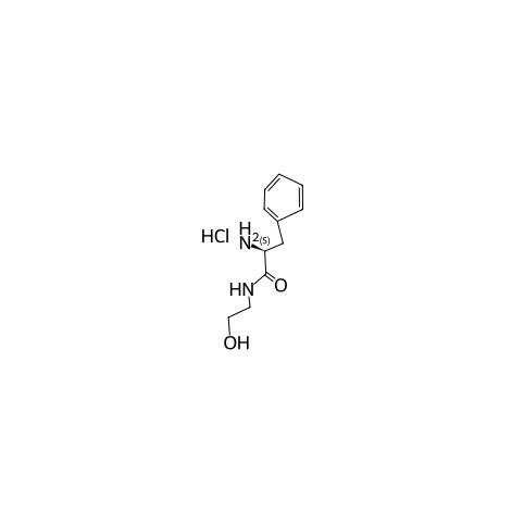 Cl.N[C@@H](Cc1ccccc1)C(=O)NCCO